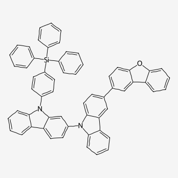 c1ccc([Si](c2ccccc2)(c2ccccc2)c2ccc(-n3c4ccccc4c4ccc(-n5c6ccccc6c6cc(-c7ccc8oc9ccccc9c8c7)ccc65)cc43)cc2)cc1